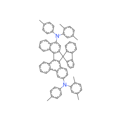 Cc1ccc(N(c2ccc3c4c(c5ccccc5c3c2)-c2c(cc(N(c3ccc(C)cc3)c3cc(C)ccc3C)c3ccccc23)C42c3ccccc3-c3ccccc32)c2cc(C)ccc2C)cc1